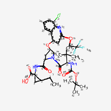 CCC1CC1(NC(=O)C1CC(Oc2cc(OCC(F)(F)F)nc3c(Cl)cccc23)CN1C(=O)C(NC(=O)OC(C)(C)C)C(C)(C)C)C(=O)O